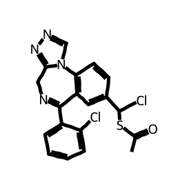 CC(=O)SC(Cl)c1ccc2c(c1)C(c1ccccc1Cl)=NCc1nncn1-2